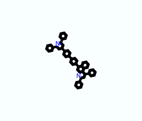 c1ccc(-c2cc(-c3ccc(-c4ccc(-c5cc6nc(-c7ccccc7)cc(-c7ccccc7)c6c6ccccc56)cc4)cc3)cc(-c3ccccc3)n2)cc1